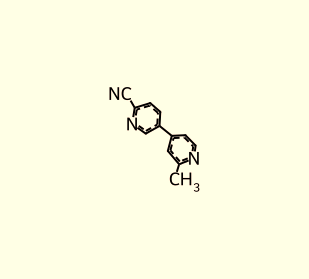 Cc1cc(-c2ccc(C#N)nc2)ccn1